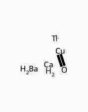 [BaH2].[CaH2].[O]=[Cu].[Tl]